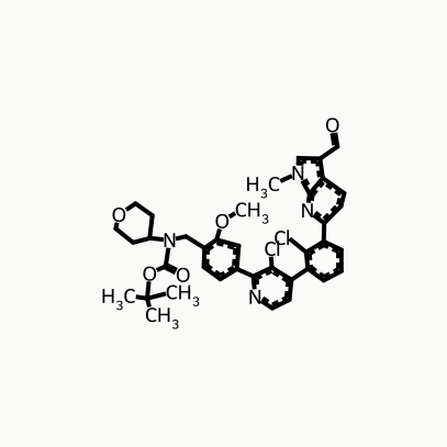 COc1cc(-c2nccc(-c3cccc(-c4ccc5c(C=O)cn(C)c5n4)c3Cl)c2Cl)ccc1CN(C(=O)OC(C)(C)C)C1CCOCC1